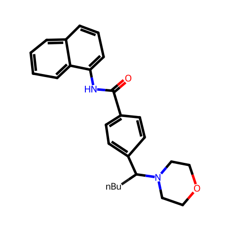 CCCCC(c1ccc(C(=O)Nc2cccc3ccccc23)cc1)N1CCOCC1